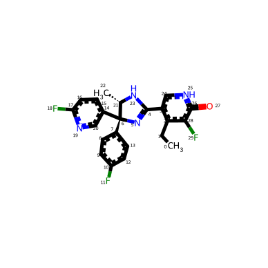 CCc1c(C2=N[C@](c3ccc(F)cc3)(c3ccc(F)nc3)[C@H](C)N2)c[nH]c(=O)c1F